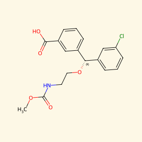 COC(=O)NCCO[C@@H](c1cccc(Cl)c1)c1cccc(C(=O)O)c1